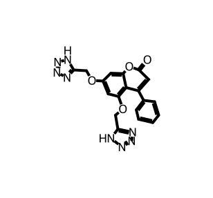 O=c1cc(-c2ccccc2)c2c(OCc3nnn[nH]3)cc(OCc3nnn[nH]3)cc2o1